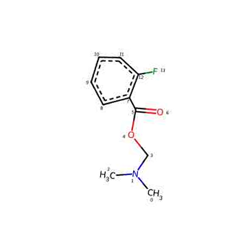 CN(C)COC(=O)c1ccccc1F